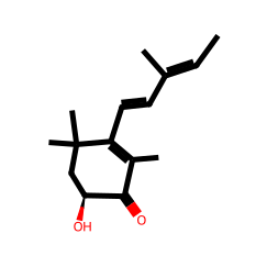 C/C=C(C)/C=C/C1=C(C)C(=O)[C@@H](O)CC1(C)C